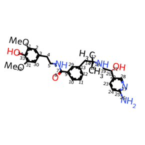 COc1cc(CCNC(=O)c2cccc(CC(C)(C)NC[C@H](O)c3ccc(N)nc3)c2)cc(OC)c1O